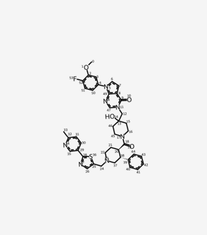 COc1cc(-n2ccc3c(=O)n(CC4(O)CCN(C(=O)[C@@H]5CCN(Cc6cnc(-c7ccc(C)nc7)s6)C[C@H]5c5ccccc5)CC4)cnc32)ccc1F